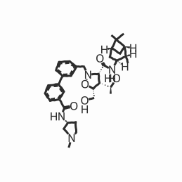 C[C@@H]1[C@@H](NC(=O)[C@@H]2[C@H]([C@H](C)O)[C@H](CO)ON2Cc2cccc(-c3cccc(C(=O)N[C@@H]4CCN(C)C4)c3)c2)C[C@H]2C[C@@H]1C2(C)C